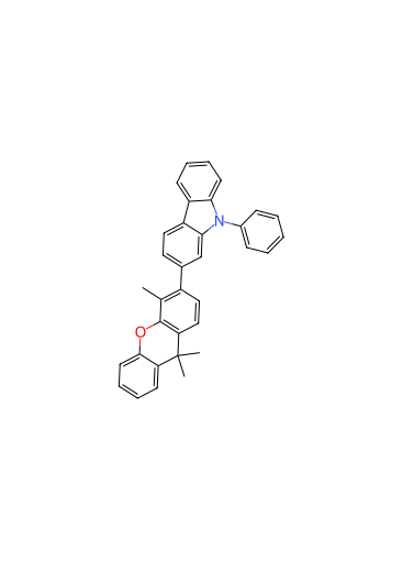 Cc1c(-c2ccc3c4ccccc4n(-c4ccccc4)c3c2)ccc2c1Oc1ccccc1C2(C)C